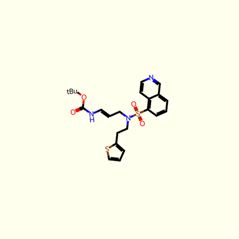 CC(C)(C)OC(=O)NC=CCN(CCc1cccs1)S(=O)(=O)c1cccc2cnccc12